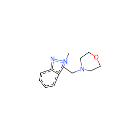 Cn1nc2ccccc2c1CN1CCOCC1